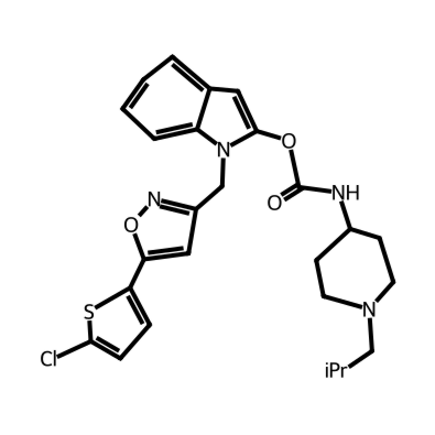 CC(C)CN1CCC(NC(=O)Oc2cc3ccccc3n2Cc2cc(-c3ccc(Cl)s3)on2)CC1